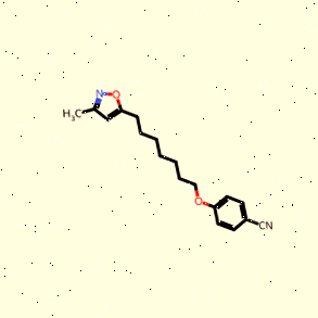 Cc1cc(CCCCCCCOc2ccc(C#N)cc2)on1